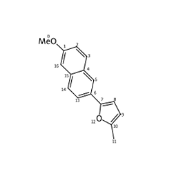 COc1ccc2cc(-c3ccc(C)o3)ccc2c1